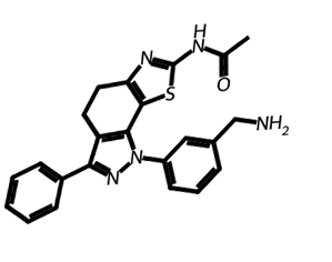 CC(=O)Nc1nc2c(s1)-c1c(c(-c3ccccc3)nn1-c1cccc(CN)c1)CC2